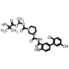 CCCC(C)(C)C(=O)OC(C)OC(=O)N1CCC[C@@H](C(=O)Nc2n[nH]c3ccc(-c4cc(C#N)ccc4Cl)cc23)C1